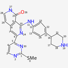 CSc1nccc(-c2cc3c(c(Nc4ccc(C5CCNCC5)cc4)n2)C(=O)[N]C=C3)n1